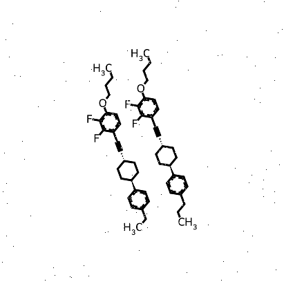 CCCCOc1ccc(C#C[C@H]2CC[C@H](c3ccc(CC)cc3)CC2)c(F)c1F.CCCCOc1ccc(C#C[C@H]2CC[C@H](c3ccc(CCC)cc3)CC2)c(F)c1F